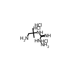 CC(C)(CN)NC(=N)NN.Cl.Cl.Cl